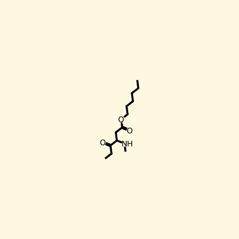 CCCCCCOC(=O)CC(NC)C(=O)CC